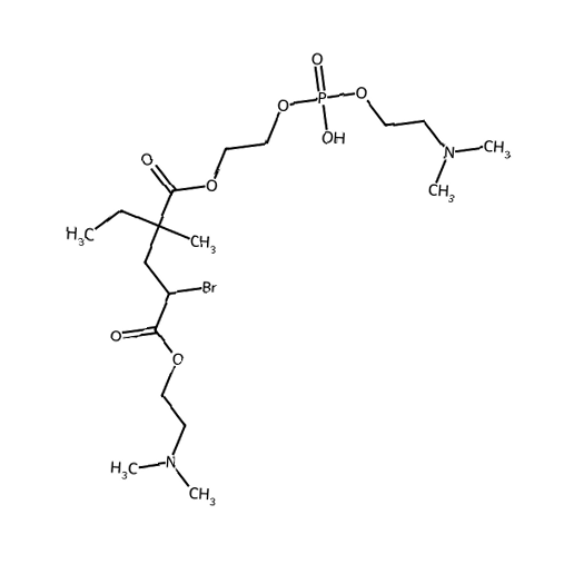 CCC(C)(CC(Br)C(=O)OCCN(C)C)C(=O)OCCOP(=O)(O)OCCN(C)C